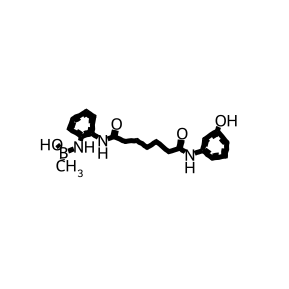 CB(O)Nc1ccccc1NC(=O)CCCCCC(=O)Nc1cccc(O)c1